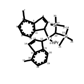 CC[CH2][Y]([CH]1C=Cc2c(C)cccc21)([CH]1C=Cc2c(C)cccc21)[CH]([Si](C)(C)C)[Si](C)(C)C